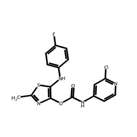 Cc1nc(OC(=O)Nc2ccnc(Cl)c2)c(Nc2ccc(F)cc2)s1